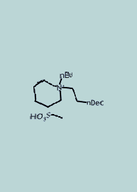 CCCCCCCCCCCC[N+]1(CCCC)CCCCC1.CS(=O)(=O)O